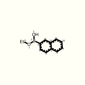 CCOB(O)c1ccc2ccccc2c1